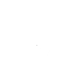 CC1C2CC3CC(CC(Cl)(C3)C2)C1N